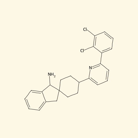 NC1c2ccccc2CC12CCC(c1cccc(-c3cccc(Cl)c3Cl)n1)CC2